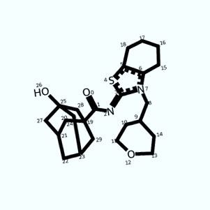 O=C(N=c1sc2c(n1CC1CCOCC1)CCCC2)C12CC3CC(CC(O)(C3)C1)C2